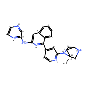 c1ccc2c(-c3ccnc(N4CC5C[C@H]4CN5)c3)nc(Nc3cnccn3)cc2c1